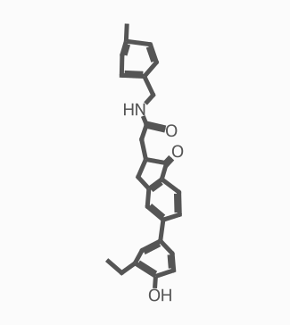 CCc1cc(-c2ccc3c(c2)CC(CC(=O)NCc2ccc(C)cc2)C3=O)ccc1O